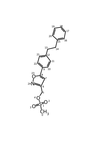 CS(=O)(=O)OCc1cc(-c2ccc(CCc3ccccc3)cc2)on1